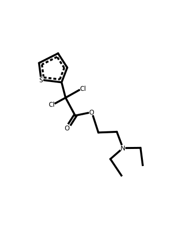 CCN(CC)CCOC(=O)C(Cl)(Cl)c1cccs1